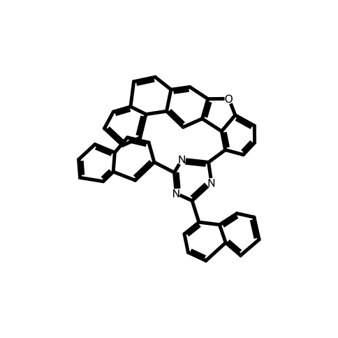 c1ccc2cc(-c3nc(-c4cccc5ccccc45)nc(-c4cccc5oc6cc7ccc8ccccc8c7cc6c45)n3)ccc2c1